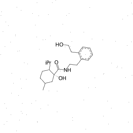 CC1CCC(C(C)C)[C@@](O)(C(=O)NCCc2ccccc2CCO)C1